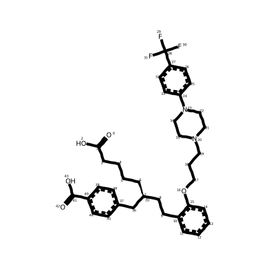 O=C(O)CCCC[C@@H](CCc1ccccc1OCCCN1CCN(c2ccc(C(F)(F)F)cc2)CC1)Cc1ccc(C(=O)O)cc1